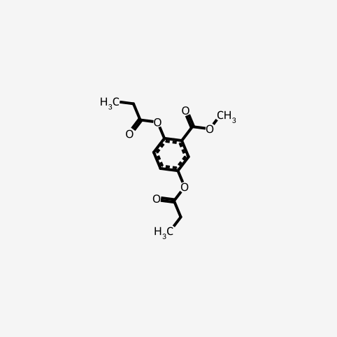 CCC(=O)Oc1ccc(OC(=O)CC)c(C(=O)OC)c1